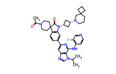 CC(=O)N1CCC2(CC1)C(=O)N([C@H]1C[C@@H](N3CCCC4(CCC4)C3)C1)c1cc(-c3cc4ncn(C(C)C)c4c(Nc4ccncc4F)n3)ccc12